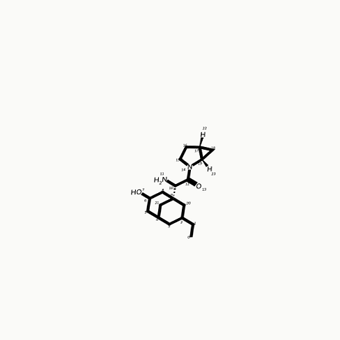 CCC1CC2CC(O)C[C@@](C(N)C(=O)N3CC[C@@H]4C[C@@H]43)(C1)C2